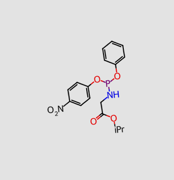 CC(C)OC(=O)CNP(Oc1ccccc1)Oc1ccc([N+](=O)[O-])cc1